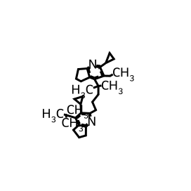 CCc1c(C2CC2)nc2c(c1C(C)(C)CCCc1nc3c(c(C(C)(C)C)c1C1CC1)CCC3)CCC2